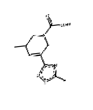 COC(=O)N1CC(c2nc(C)no2)=CC(C)C1